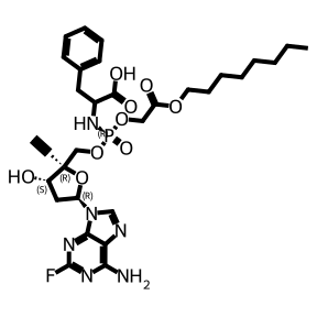 C#C[C@]1(CO[P@](=O)(NC(Cc2ccccc2)C(=O)O)OCC(=O)OCCCCCCCC)O[C@@H](n2cnc3c(N)nc(F)nc32)C[C@@H]1O